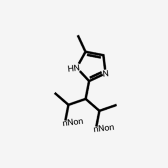 CCCCCCCCCC(C)C(c1ncc(C)[nH]1)C(C)CCCCCCCCC